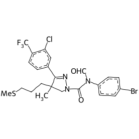 CSCCCC1(C)CN(C(=O)N(C=O)c2ccc(Br)cc2)N=C1c1ccc(C(F)(F)F)c(Cl)c1